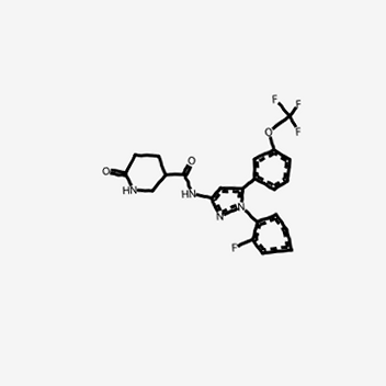 O=C1CCC(C(=O)Nc2cc(-c3cccc(OC(F)(F)F)c3)n(-c3ccccc3F)n2)CN1